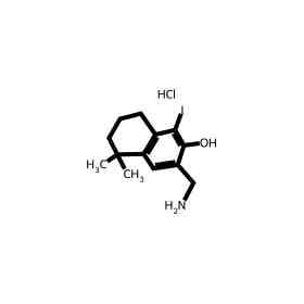 CC1(C)CCCc2c1cc(CN)c(O)c2I.Cl